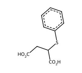 O=C(O)CC(Sc1ccccc1)C(=O)O